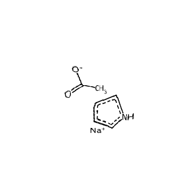 CC(=O)[O-].[Na+].c1cc[nH]c1